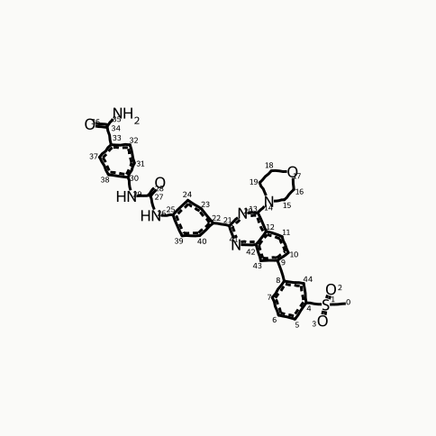 CS(=O)(=O)c1cccc(-c2ccc3c(N4CCOCC4)nc(-c4ccc(NC(=O)Nc5ccc(C(N)=O)cc5)cc4)nc3c2)c1